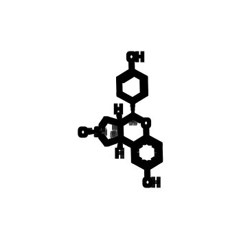 [O-][S@@+]1C[C@H]2[C@@H](C1)c1cc(O)ccc1O[C@H]2C1C=CC(O)=CC1